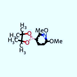 COc1ccc(B2OC(C)(C)C(C)(C)O2)c(OC)n1